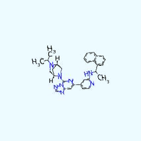 CC(Nc1cc(-c2cc3ncnn3c(N3C[C@@H]4C[C@H]3CN4C(C)C)n2)ccn1)c1cccc2ccccc12